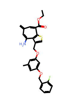 C=C1C=C(C(=O)OCC)c2scc(COc3cc(C)cc(OCc4ccccc4F)c3)c2C(N)=C1